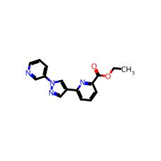 CCOC(=O)c1cccc(-c2cnn(-c3cccnc3)c2)n1